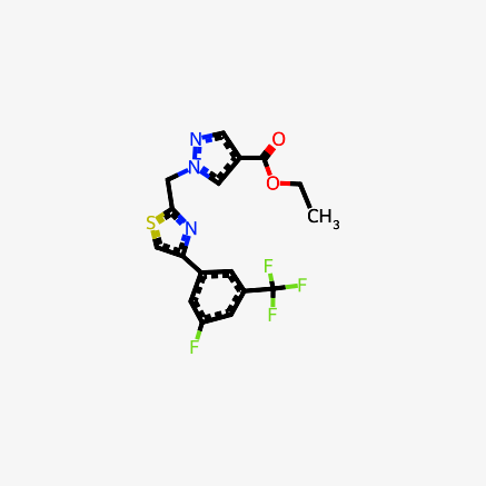 CCOC(=O)c1cnn(Cc2nc(-c3cc(F)cc(C(F)(F)F)c3)cs2)c1